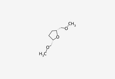 COC[C@H]1CC[C@@H](COC)O1